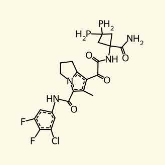 Cc1c(C(=O)C(=O)NC2(C(N)=O)CC(P)(P)C2)c2n(c1C(=O)Nc1cc(F)c(F)c(Cl)c1)CCC2